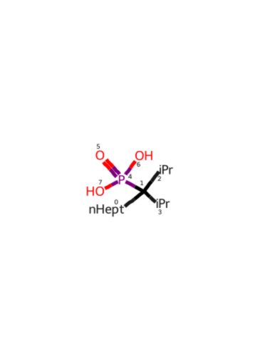 CCCCCCCC(C(C)C)(C(C)C)P(=O)(O)O